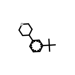 CC(C)(C)c1cccc(C2CCOCC2)c1